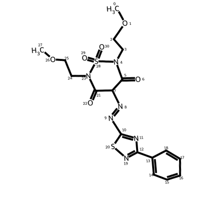 COCCN1C(=O)C(N=Nc2nc(-c3ccccc3)ns2)C(=O)N(CCOC)S1(=O)=O